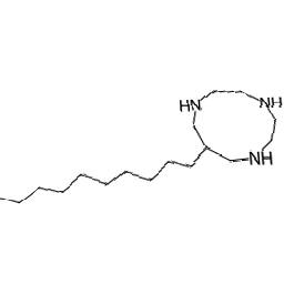 CCCCCCCCCCC1CNCCNCCNC1